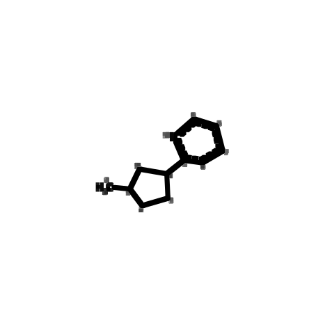 CC1CCC(c2ccccn2)C1